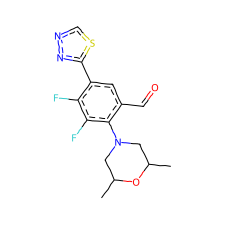 CC1CN(c2c(C=O)cc(-c3nncs3)c(F)c2F)CC(C)O1